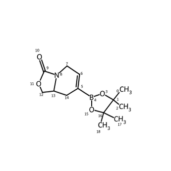 CC1(C)OB(C2=CCN3C(=O)OCC3C2)OC1(C)C